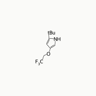 CC(C)(C)c1cc(OCC(F)(F)F)c[nH]1